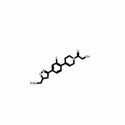 CC(=O)NCC1CC(c2ccc(C3=CCN(C(=O)CO)CC3)c(F)c2)=NO1